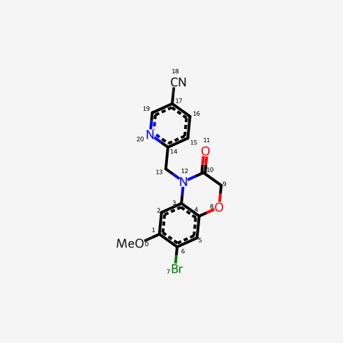 COc1cc2c(cc1Br)OCC(=O)N2Cc1ccc(C#N)cn1